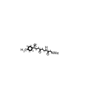 CNCC(=O)NCCC(=O)CC[S+]([O-])c1ccc(C)cc1